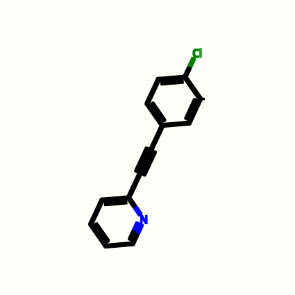 Clc1[c]cc(C#Cc2ccccn2)cc1